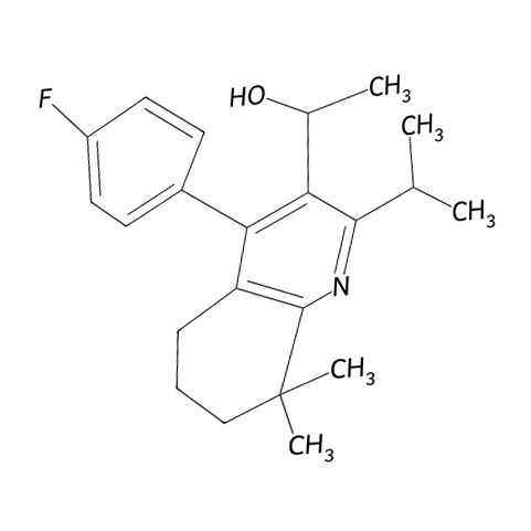 CC(C)c1nc2c(c(-c3ccc(F)cc3)c1C(C)O)CCCC2(C)C